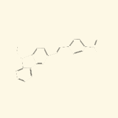 CCn1c2ccccc2c2cc(/C=C/c3ccc([N+](=O)[O-])cc3)ccc21